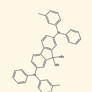 CCCC1(CCC)c2cc(N(c3ccccc3)c3cccc(C)c3)ccc2-c2ccc(N(c3ccccc3)c3cccc(C)c3)cc21